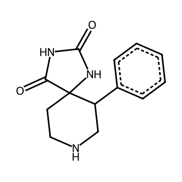 O=C1NC(=O)C2(CCNCC2c2ccccc2)N1